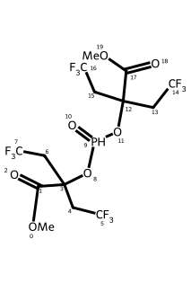 COC(=O)C(CC(F)(F)F)(CC(F)(F)F)O[PH](=O)OC(CC(F)(F)F)(CC(F)(F)F)C(=O)OC